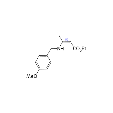 CCOC(=O)/C=C(/C)NCc1ccc(OC)cc1